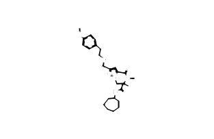 CSc1ccc(CCNC(=O)c2cc3n(n2)CC(C)(C(=O)NC2CCCCCC2)N(C)C3=O)cc1